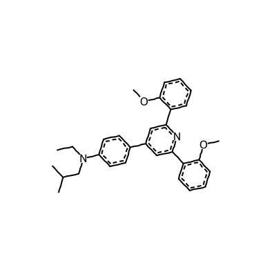 CCN(CC(C)C)c1ccc(-c2cc(-c3ccccc3OC)nc(-c3ccccc3OC)c2)cc1